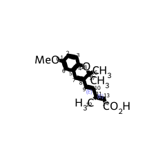 COc1ccc2c(c1)C=C(/C=C/C(C)=C/C(=O)O)C(C)(C)O2